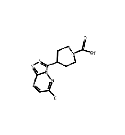 O=C(O)N1CCC(c2nnc3ccc(Cl)nn23)CC1